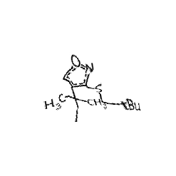 CC(C)(C)CSc1nocc1C(C)(C)I